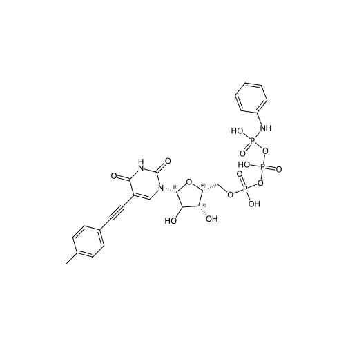 Cc1ccc(C#Cc2cn([C@@H]3O[C@H](COP(=O)(O)OP(=O)(O)OP(=O)(O)Nc4ccccc4)[C@H](O)C3O)c(=O)[nH]c2=O)cc1